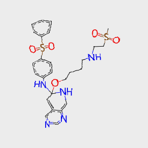 CS(=O)(=O)CCNCCCCOC1(Nc2ccc(S(=O)(=O)c3ccccc3)cc2)C=c2cncnc2=CN1